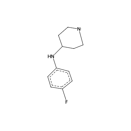 Fc1ccc(NC2CC[N]CC2)cc1